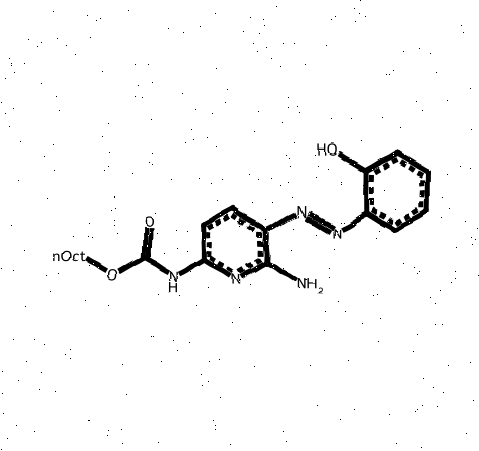 CCCCCCCCOC(=O)Nc1ccc(/N=N/c2ccccc2O)c(N)n1